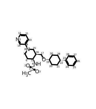 CS(=O)(=O)N[C@H]1CCN(c2cccnc2)C[C@H]1CO[C@H]1CC[C@@H](c2ccccc2)CC1